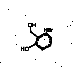 Br.OCc1ccccc1O